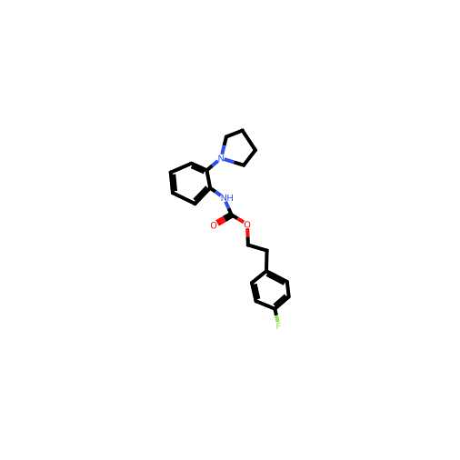 O=C(Nc1ccccc1N1CCCC1)OCCc1ccc(F)cc1